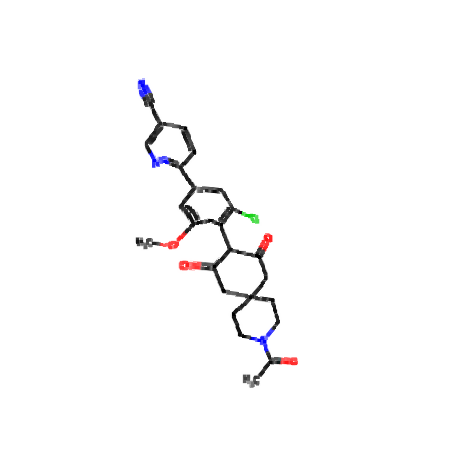 COc1cc(-c2ccc(C#N)cn2)cc(Cl)c1C1C(=O)CC2(CCN(C(C)=O)CC2)CC1=O